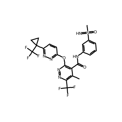 Cc1c(C(F)(F)F)nnc(Oc2ccc(C3(C(F)(F)F)CC3)nn2)c1C(=O)Nc1cccc(S(C)(=N)=O)c1